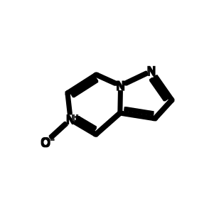 [O-][n+]1ccn2nccc2c1